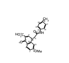 COc1ccc2c(=O)c(C(=O)O)cn(CC(=O)Nc3ccc(C)cc3)c2c1